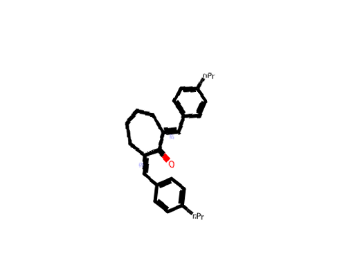 CCCc1ccc(/C=C2/CCCC/C(=C\c3ccc(CCC)cc3)C2=O)cc1